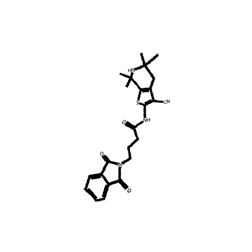 CC1(C)Cc2c(sc(NC(=O)CCCN3C(=O)c4ccccc4C3=O)c2C#N)C(C)(C)N1